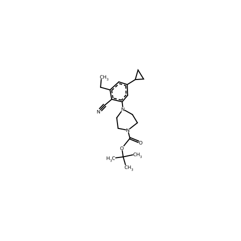 CCc1cc(C2CC2)cc(N2CCN(C(=O)OC(C)(C)C)CC2)c1C#N